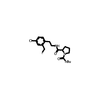 CCCCC(=O)N1CCCC1C(=O)NCCc1ccc(Cl)cc1CI